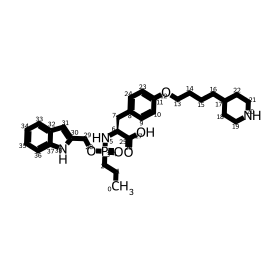 CCCP(=O)(N[C@@H](Cc1ccc(OCCCCC2CCNCC2)cc1)C(=O)O)OCc1cc2ccccc2[nH]1